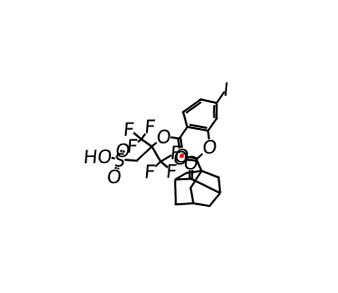 O=C(OC(CS(=O)(=O)O)(C(F)(F)F)C(F)(F)F)c1ccc(I)cc1OC(=O)C12CC3CC(C1)C(=O)C(C3)C2